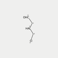 O=C[CH2][AlH][CH2]Cl